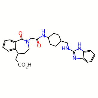 O=C(O)CC1CCN(CC(=O)NC2CCC(CNc3nc4ccccc4[nH]3)CC2)C(=O)c2ccccc21